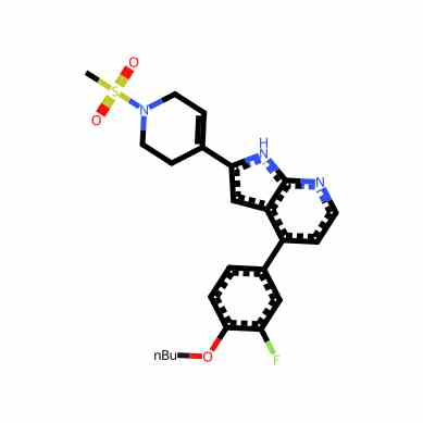 CCCCOc1ccc(-c2ccnc3[nH]c(C4=CCN(S(C)(=O)=O)CC4)cc23)cc1F